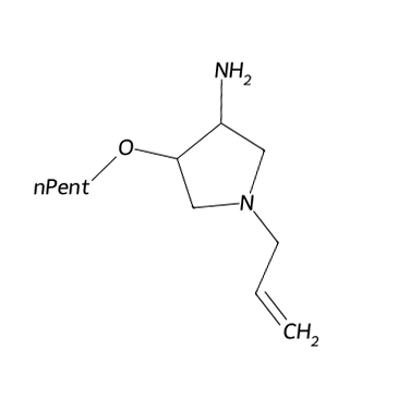 C=CCN1CC(N)C(OCCCCC)C1